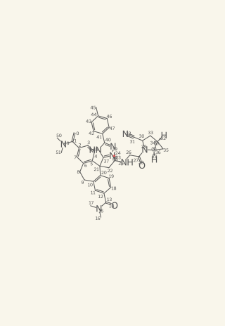 C=C(c1ccc2c(c1)CCc1cc(C(=O)N(C)C)ccc1C2(C[C@@H](C)NCC(=O)N1C(C#N)C[C@@H]2C[C@@H]21)c1nnc(-c2ccc(C)cc2)[nH]1)N(C)C